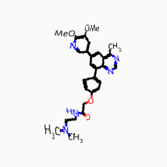 COc1cc(-c2cc(-c3ccc(OCC(=O)NCCN(C)C)cc3)c3ncnc(C)c3c2)cnc1OC